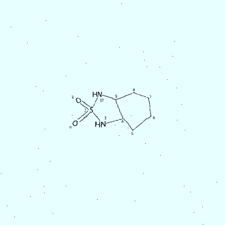 O=S1(=O)NC2CCCCC2N1